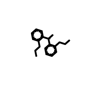 CCCc1ccccc1[C](C)c1ccccc1CCC